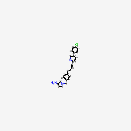 NC1CCN(Cc2ccc(CCC#Cc3ccc(-c4ccc(Cl)cc4)cn3)cc2)C1